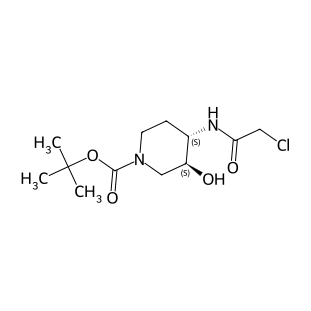 CC(C)(C)OC(=O)N1CC[C@H](NC(=O)CCl)[C@@H](O)C1